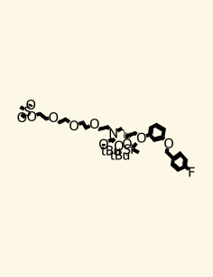 CC(C)(C)OC(=O)N(CCOCCOCCOCCOS(C)(=O)=O)C[C@H](COc1cccc(OCc2ccc(F)cc2)c1)O[Si](C)(C)C(C)(C)C